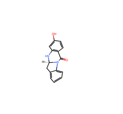 O=C1c2ccc(O)cc2N[C@@H]2Cc3ccccc3N12